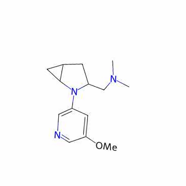 COc1cncc(N2C(CN(C)C)CC3CC32)c1